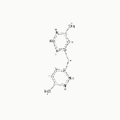 Oc1cc(Cc2ccc(O)nn2)ncn1